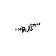 C=C(NCc1ccc2c(c1)N/C(=N/O)CO2)c1cc(C(=C)NCC(C)CCC(CC)(CC)C(=O)O)n2nccc2n1